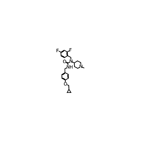 CN1CCC(N(Cc2ccc(F)cc2F)C(=O)NCc2ccc(OCC3CC3)cc2)CC1